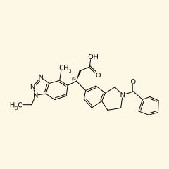 CCn1nnc2c(C)c([C@@H](CC(=O)O)c3ccc4c(c3)CN(C(=O)c3ccccc3)CC4)ccc21